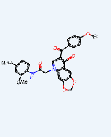 CCOc1ccc(C(=O)c2cn(CC(=O)Nc3ccc(OC)cc3OC)c3cc4c(cc3c2=O)OCO4)cc1